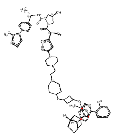 Cc1nccn1-c1ccc([C@H](C)NC(=O)[C@@H]2C[C@@H](O)CN2C(=O)[C@H](c2cc(N3CCN(CCN4CCC(OC5CC(Oc6cc(N7C8CC[C@@H]7CN(c7cc(-c9ccccc9O)nnc7N)C8)ccn6)C5)CC4)CC3)no2)C(C)C)cc1